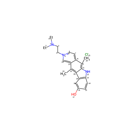 CCN(CC)CC[n+]1ccc2c(C)c3[nH]c4ccc(O)cc4c3c(C)c2c1.[Cl-]